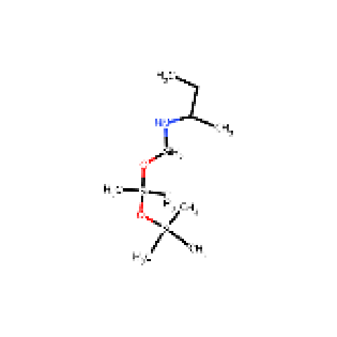 CCC(C)N[SiH2]O[Si](C)(C)O[Si](C)(C)C